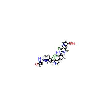 COc1cc(-c2nccc(-c3cccc(Nc4nccc(CN5CC[C@H](O)C5)c4F)c3Cl)c2Cl)ccc1CNC[C@@H]1CCC(=O)N1